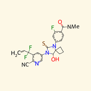 C=CC(F)(F)c1cc(N2C(=S)N(c3ccc(C(=O)NC)c(F)c3)C3(CCC3)C2O)cnc1C#N